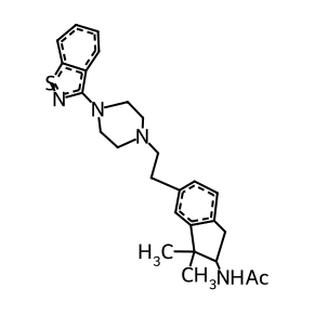 CC(=O)NC1Cc2ccc(CCN3CCN(c4nsc5ccccc45)CC3)cc2C1(C)C